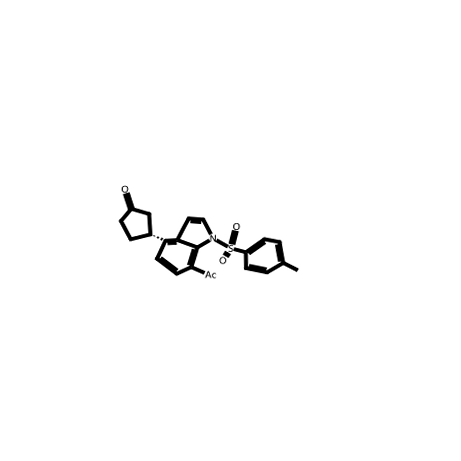 CC(=O)c1ccc([C@@H]2CCC(=O)C2)c2ccn(S(=O)(=O)c3ccc(C)cc3)c12